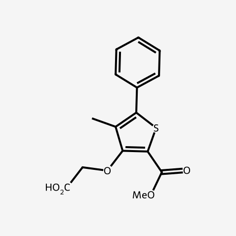 COC(=O)c1sc(-c2ccccc2)c(C)c1OCC(=O)O